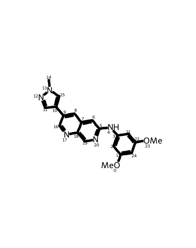 COc1cc(Nc2cc3cc(-c4cnn(C)c4)cnc3cn2)cc(OC)c1